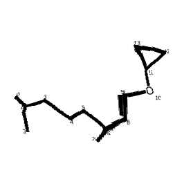 CC(C)CCCC(C)/C=C/OC1CC1